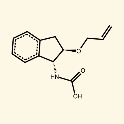 C=CCO[C@@H]1Cc2ccccc2[C@H]1NC(=O)O